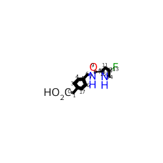 O=C(O)Cc1ccc(CNC(=O)[C@H]2C[C@H](F)CN2)cc1